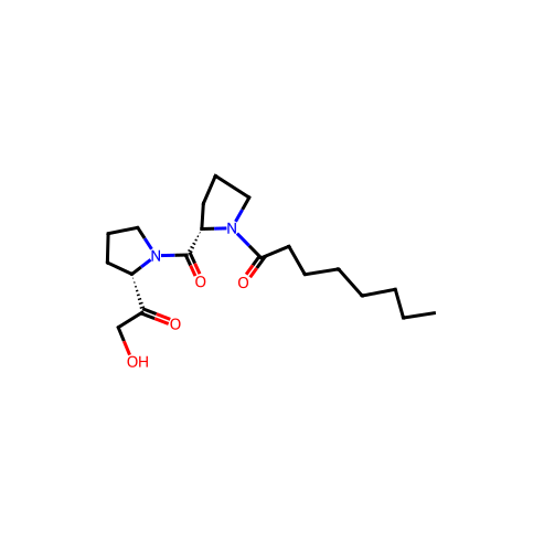 CCCCCCCC(=O)N1CCC[C@H]1C(=O)N1CCC[C@H]1C(=O)CO